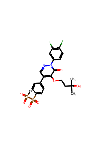 CC(C)(O)CCOc1c(-c2ccc(S(=O)(=O)S(C)(=O)=O)cc2)cnn(-c2ccc(F)c(F)c2)c1=O